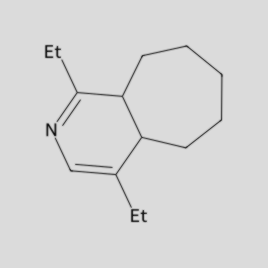 CCC1=CN=C(CC)C2CCCCCC12